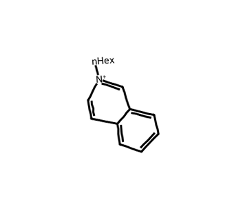 CCCCCC[n+]1ccc2ccccc2c1